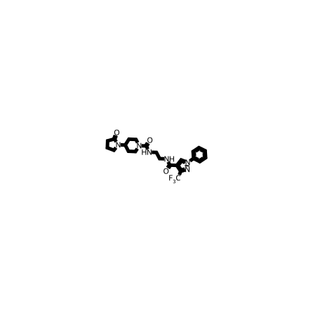 O=C(NCCNC(=O)N1CCC(N2CCCC2=O)CC1)c1cn(-c2ccccc2)nc1C(F)(F)F